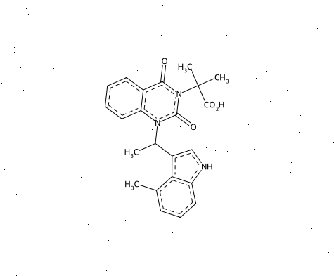 Cc1cccc2[nH]cc(C(C)n3c(=O)n(C(C)(C)C(=O)O)c(=O)c4ccccc43)c12